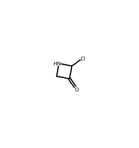 O=C1CNC1Cl